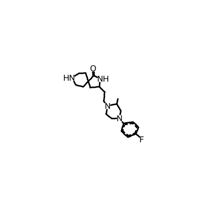 CC1CN(c2ccc(F)cc2)CCN1CCC1CC2(CCNCC2)C(=O)N1